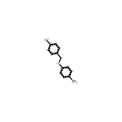 Nc1ccc(SCc2ccc(Cl)cc2)cc1